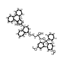 COc1ccc(C(OCC(O)CCOc2ccc(-c3nc4c5ccccc5c5ccccc5c4[nH]3)c3ccccc23)(c2ccccc2)c2ccc(OC)cc2)cc1